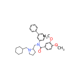 COc1ccc(C(=O)N(CC2CCCN2CC2CCCCC2)c2cccc(-c3ccccc3)c2)cc1OC